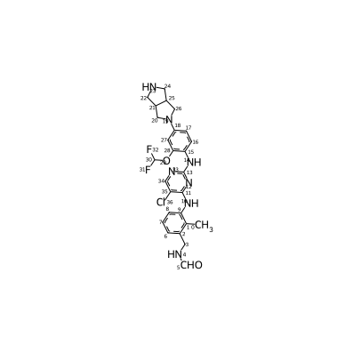 Cc1c(CNC=O)cccc1Nc1nc(Nc2ccc(N3CC4CNCC4C3)cc2OC(F)F)ncc1Cl